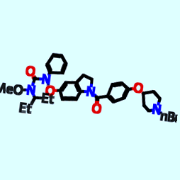 CCCCN1CCC(Oc2ccc(C(=O)N3CCc4cc(ON(C(=O)N(OC)C(CC)CC)c5ccccc5)ccc43)cc2)CC1